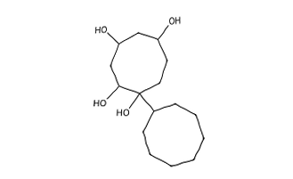 OC1CCC(O)(C2CCCCCCC2)C(O)CC(O)C1